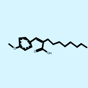 CCCCCCCCC(=Cc1ccc(OC)cc1)C(=O)O